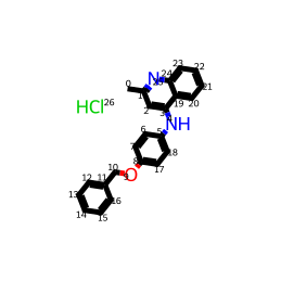 Cc1cc(Nc2ccc(OCc3ccccc3)cc2)c2ccccc2n1.Cl